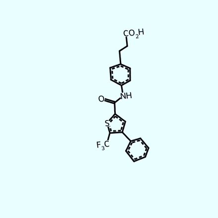 O=C(O)CCc1ccc(NC(=O)c2cc(-c3ccccc3)c(C(F)(F)F)s2)cc1